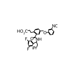 [C-]#[N+]c1cccc(OCc2ccc(CCC(=O)O)c(C(=O)NC(CC(C)C)c3cc(F)cc(F)c3)c2)c1